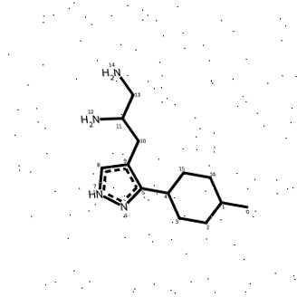 CC1CCC(c2n[nH]cc2CC(N)CN)CC1